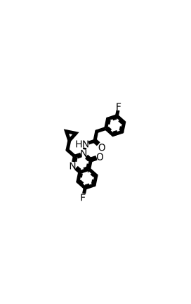 O=C(Cc1cccc(F)c1)Nn1c(CC2CC2)nc2cc(F)ccc2c1=O